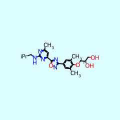 Cc1cc(-c2nc(-c3cc(C)c(OC[C@@H](O)CO)c(C)c3)no2)nc(NCC(C)C)n1